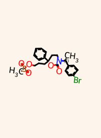 C[C@@H](c1ccc(Br)cc1)N1CCC(CCCOS(C)(=O)=O)(c2ccccc2)OC1=O